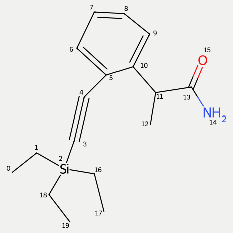 CC[Si](C#Cc1ccccc1C(C)C(N)=O)(CC)CC